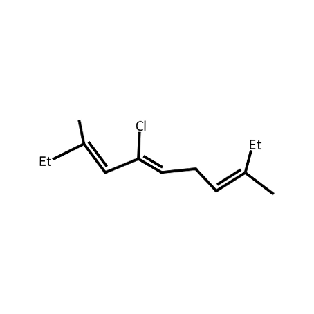 CC/C(C)=C\CC=C(Cl)/C=C(\C)CC